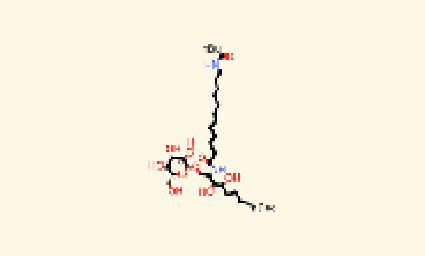 CCCCCCCCCCCCCCC(O)C(O)C(CO[C@H]1O[C@H](CO)[C@H](O)[C@H](O)[C@H]1O)NC(=O)CCCCCCCCCCCNC(=O)CCCC